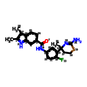 Cc1[nH]c2cc(C(=O)Nc3ccc(F)c(C4(C)CCSC(N)=N4)c3)ccc2c1C